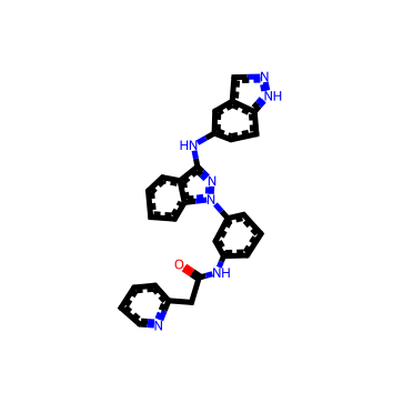 O=C(Cc1ccccn1)Nc1cccc(-n2nc(Nc3ccc4[nH]ncc4c3)c3ccccc32)c1